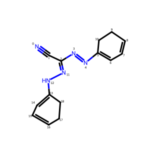 N#CC(N=NC1=CC=CCC1)=NNC1=CC=CCC1